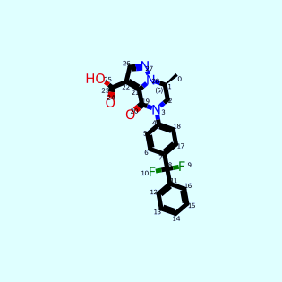 C[C@H]1CN(c2ccc(C(F)(F)c3ccccc3)cc2)C(=O)c2c(C(=O)O)cnn21